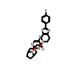 O=C(CN1CC2CCC(C1)N2c1ncc(F)cn1)N1CCc2nc(-c3ccc(F)cc3)sc2C1